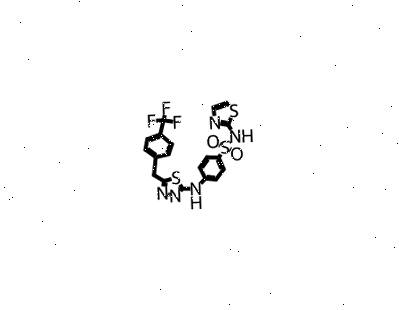 O=S(=O)(Nc1nccs1)c1ccc(Nc2nnc(Cc3ccc(C(F)(F)F)cc3)s2)cc1